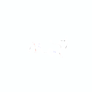 C=CS(=O)(=O)NCC1CN(C(=O)c2ccc(C)cc2OC)C1